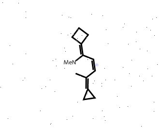 CNC(/C=C\C(C)=C1CC1)=C1CCC1